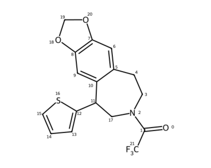 O=C(N1CCc2cc3c(cc2C(c2cccs2)C1)OCO3)C(F)(F)F